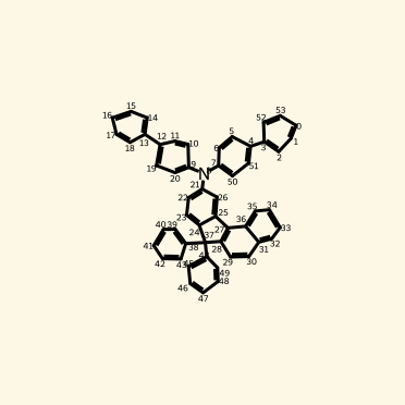 c1ccc(-c2ccc(N(c3ccc(-c4ccccc4)cc3)c3ccc4c(c3)-c3c(ccc5ccccc35)C4(c3ccccc3)c3ccccc3)cc2)cc1